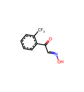 O=C(C=NO)c1ccccc1C(F)(F)F